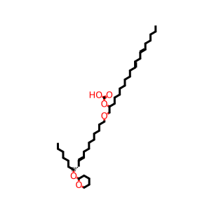 CCCCCC=CCC=CCCCCCCCCC(COCCCCCCCCC=CC[C@@H](CCCCCC)OC1CCCCO1)OC(=O)O